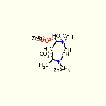 C[C@@H](C(=O)O)N(C)C.C[C@@H](C(=O)O)N(C)C.[O-2].[O-2].[Zn+2].[Zn+2].[Zn+2]